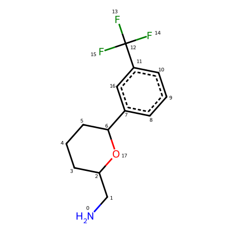 NCC1CCCC(c2cccc(C(F)(F)F)c2)O1